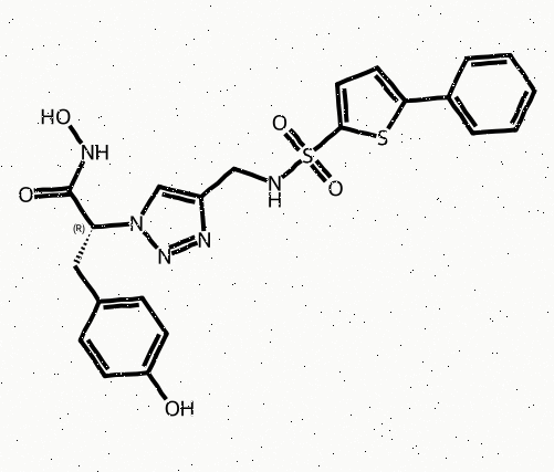 O=C(NO)[C@@H](Cc1ccc(O)cc1)n1cc(CNS(=O)(=O)c2ccc(-c3ccccc3)s2)nn1